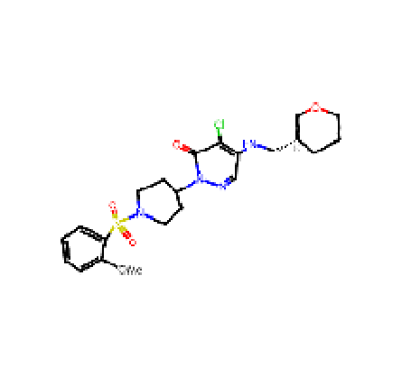 COc1ccccc1S(=O)(=O)N1CCC(n2ncc(NC[C@H]3CCCOC3)c(Cl)c2=O)CC1